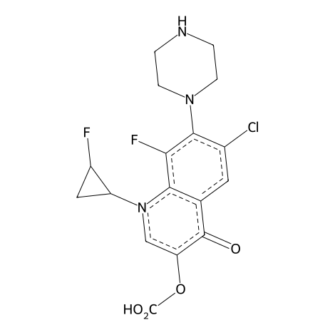 O=C(O)Oc1cn(C2CC2F)c2c(F)c(N3CCNCC3)c(Cl)cc2c1=O